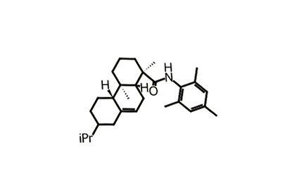 Cc1cc(C)c(NC(=O)[C@]2(C)CCC[C@@]3(C)[C@H]2CC=C2CC(C(C)C)CC[C@@H]23)c(C)c1